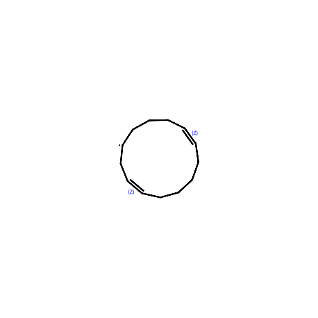 [CH]1C/C=C\CCCC/C=C\CCC1